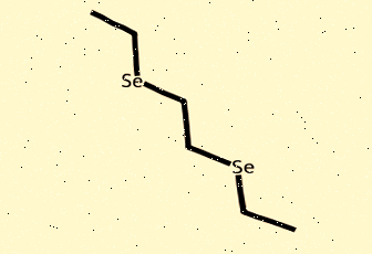 CC[Se]CC[Se]CC